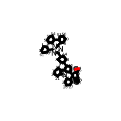 c1ccc(-c2nc(-c3ccc(-c4ccc5c6c4c4ccccc4n6-c4ccccc4C54c5ccccc5-c5ccccc54)cc3)nc(-c3ccccc3-c3ccccc3)n2)cc1